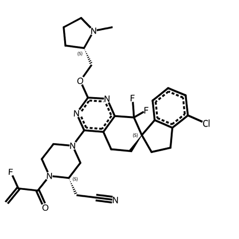 C=C(F)C(=O)N1CCN(c2nc(OC[C@@H]3CCCN3C)nc3c2CC[C@@]2(CCc4c(Cl)cccc42)C3(F)F)C[C@@H]1CC#N